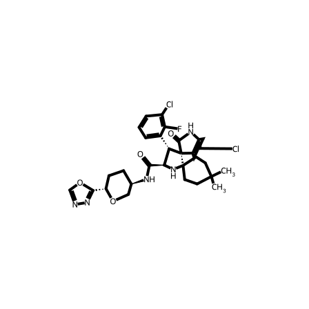 CC1(C)CCC2(CC1)N[C@@H](C(=O)N[C@@H]1CC[C@@H](c3nnco3)OC1)[C@H](c1cccc(Cl)c1F)[C@]21C(=O)Nc2cc(Cl)ncc21